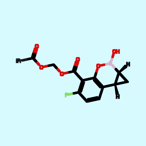 CC(C)C(=O)OCOC(=O)c1c(F)ccc2c1OB(O)[C@@H]1C[C@H]21